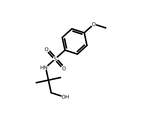 COc1ccc(S(=O)(=O)NC(C)(C)CO)cc1